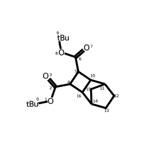 CC(C)(C)OC(=O)C1C(C(=O)OC(C)(C)C)C2C3CCC(C3)C12